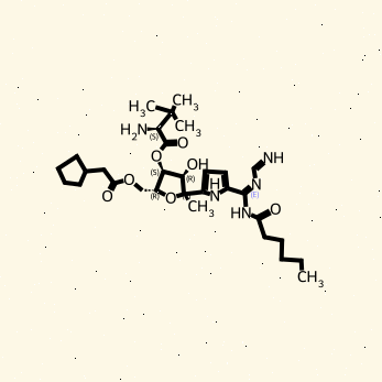 CCCCCC(=O)N/C(=N/C=N)c1ccc([C@]2(C)O[C@H](COC(=O)CC3CCCC3)[C@@H](OC(=O)[C@@H](N)C(C)(C)C)[C@H]2O)[nH]1